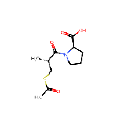 CC(=O)SC[C@H](C)C(=O)N1CCC[C@@H]1C(=O)O